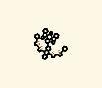 c1ccc(-c2ccc(-c3ccc(-c4c5ccccc5c(-c5ccc(-c6ccc(-c7ccccc7)s6)s5)c5cc(-c6ccc7c(c6)C6(c8ccccc8-c8ccccc86)c6ccccc6C76c7ccccc7-c7ccccc76)ccc45)s3)s2)cc1